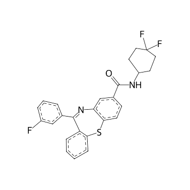 O=C(NC1CCC(F)(F)CC1)c1ccc2c(c1)N=C(c1cccc(F)c1)c1ccccc1S2